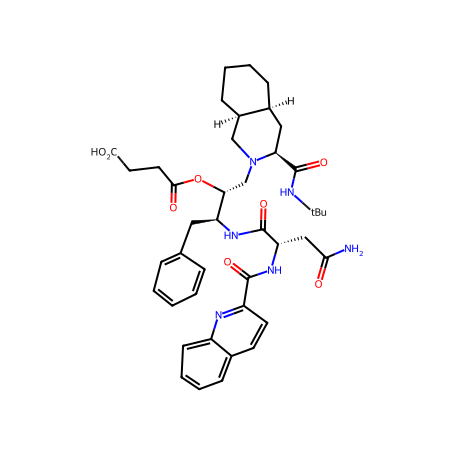 CC(C)(C)NC(=O)[C@@H]1C[C@@H]2CCCC[C@@H]2CN1C[C@@H](OC(=O)CCC(=O)O)[C@H](Cc1ccccc1)NC(=O)[C@H](CC(N)=O)NC(=O)c1ccc2ccccc2n1